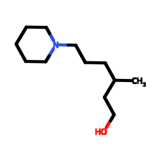 CC(CCO)CCCN1CCCCC1